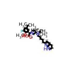 COc1c(F)cc(C(C)C)cc1[C@@H](C(=O)O)N1CC[C@@H](N(CCCCCc2ccc3c(n2)NCCC3)C(C)(C)C)C1